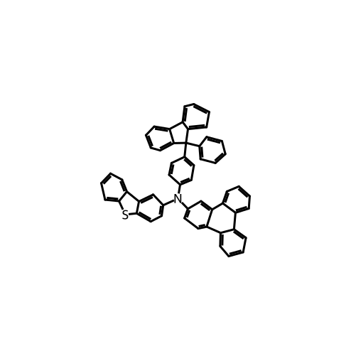 c1ccc(C2(c3ccc(N(c4ccc5sc6ccccc6c5c4)c4ccc5c6ccccc6c6ccccc6c5c4)cc3)c3ccccc3-c3ccccc32)cc1